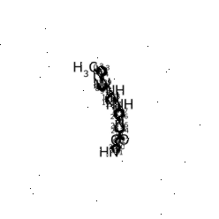 Cc1cccc(-c2nccc(Nc3ccnc(Nc4ccc(N5CCC(C(=O)OC6CCNC6)CC5)cc4)n3)n2)n1